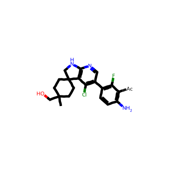 CC(=O)c1c(N)ccc(-c2cnc3c(c2Cl)C2(CCC(C)(CO)CC2)CN3)c1F